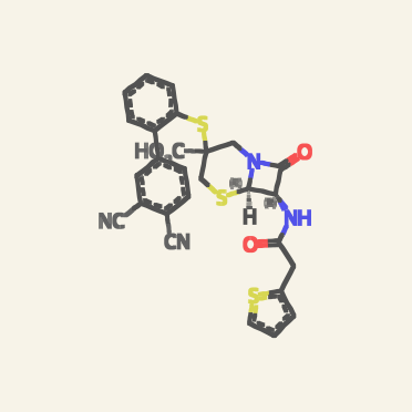 N#Cc1ccc(-c2ccccc2SC2(C(=O)O)CS[C@@H]3[C@H](NC(=O)Cc4cccs4)C(=O)N3C2)cc1C#N